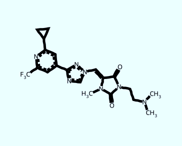 CN(C)CCN1C(=O)C(=Cn2cnc(-c3cc(C4CC4)nc(C(F)(F)F)c3)n2)N(C)C1=O